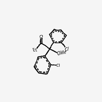 CCC(=O)C(OC)(c1ccccc1Cl)c1ccccc1Cl